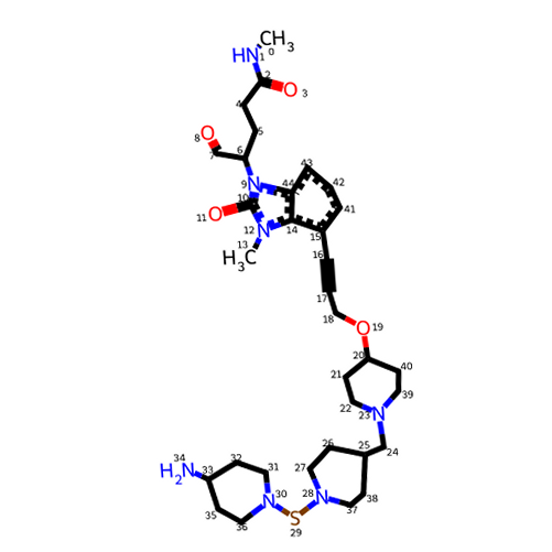 CNC(=O)CCC(C=O)n1c(=O)n(C)c2c(C#CCOC3CCN(CC4CCN(SN5CCC(N)CC5)CC4)CC3)cccc21